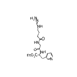 CCOC(=O)C(Cc1cccnc1)NC(=O)CNC(=O)CCCNC=NN